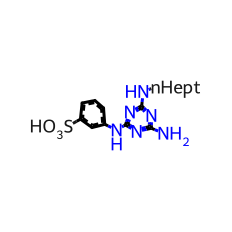 CCCCCCCNc1nc(N)nc(Nc2cccc(S(=O)(=O)O)c2)n1